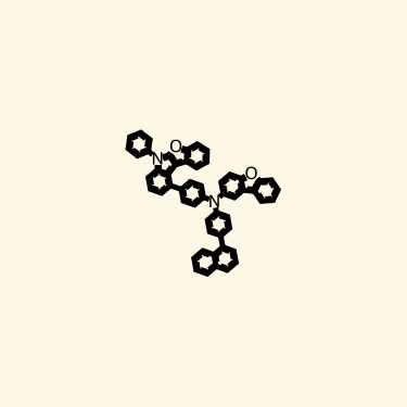 c1ccc(-n2c3cccc(-c4ccc(N(c5ccc(-c6cccc7ccccc67)cc5)c5ccc6oc7ccccc7c6c5)cc4)c3c3c4ccccc4oc32)cc1